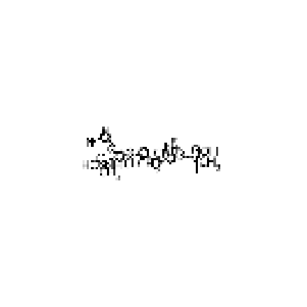 Cc1c(COc2cc(OCc3cncc(C#N)c3)c(CN[C@@H](C)C(=O)O)cc2Cl)cccc1-c1cccc(-c2ccc(OCCN[C@@H](C)C(=O)O)c(C(F)(F)F)c2)c1C